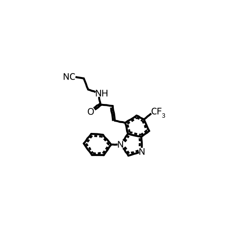 N#CCCNC(=O)C=Cc1cc(C(F)(F)F)cc2ncn(-c3ccccc3)c12